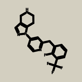 Fc1c(Cc2cc(-n3ncc4c3CCNC4)ccn2)cccc1C(F)(F)F